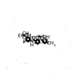 CCC(C)(C)Oc1c(F)cc(NC(=O)c2cccc3c2OC[C@H](CO)N3c2ccc(C)cn2)cc1F